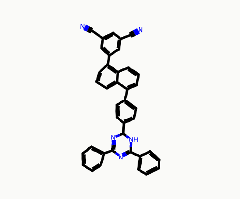 N#Cc1cc(C#N)cc(-c2cccc3c(-c4ccc(C5N=C(c6ccccc6)N=C(c6ccccc6)N5)cc4)cccc23)c1